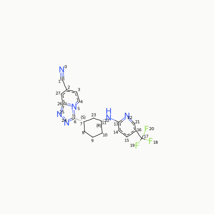 N#Cc1ccn2c([C@H]3CCC[C@@H](Nc4ccc(C(F)(F)F)cn4)C3)nnc2c1